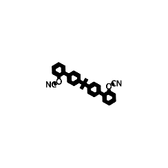 CC(C)(c1ccc(-c2ccccc2OC#N)cc1)c1ccc(-c2ccccc2OC#N)cc1